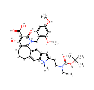 CCN(CCc1cc2cc3c(cc2n1C)CCCc1c(O)c(C(=O)O)c(=O)n(Cc2ccc(OC)cc2OC)c1-3)C(=O)OC(C)(C)C